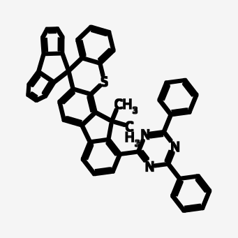 CC1(C)c2c(-c3nc(-c4ccccc4)nc(-c4ccccc4)n3)cccc2-c2ccc3c(c21)Sc1ccccc1C31c2ccccc2-c2ccccc21